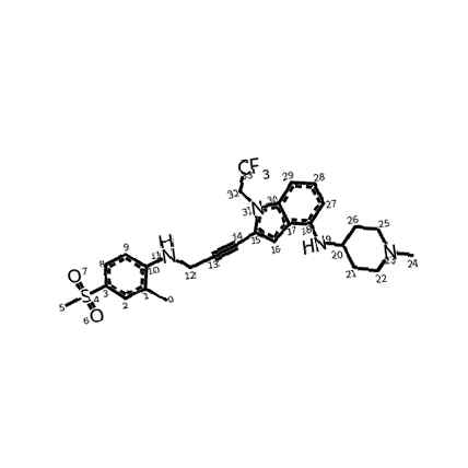 Cc1cc(S(C)(=O)=O)ccc1NCC#Cc1cc2c(NC3CCN(C)CC3)cccc2n1CC(F)(F)F